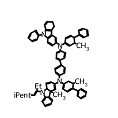 CCCC(C)/C=C(\CC)N1c2ccccc2C2(C)C=C(N(C3=CC=C(c4ccccc4)C(C)C3)c3ccc(-c4ccc(N(C5=CC(C)C(c6ccccc6)C=C5)c5ccc6c(c5)c5c(n6-c6ccccc6)C=CCC5)cc4)cc3)C=CC12